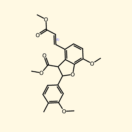 COC(=O)/C=C/c1ccc(OC)c2c1C(C(=O)OC)C(c1ccc(C)c(OC)c1)O2